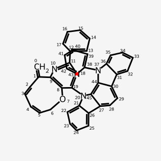 C=C1/C=C\C=C/COc2c1nc(-c1ccccc1)nc2-n1c2ccccc2c2ccc3c4ccccc4n(-c4ccccc4)c3c21